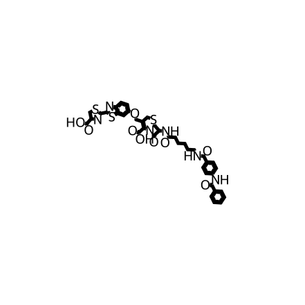 O=C(CCCCCNC(=O)c1ccc(NC(=O)c2ccccc2)cc1)NC1C(=O)N2C(C(=O)O)=C(COc3ccc4nc(C5=NC(C(=O)O)CS5)sc4c3)CSC12